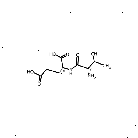 CC(C)[C@H](N)C(=O)N[C@H](CCC(=O)O)C(=O)O